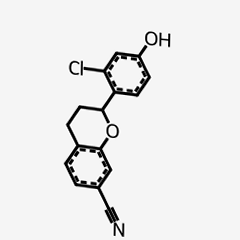 N#Cc1ccc2c(c1)OC(c1ccc(O)cc1Cl)CC2